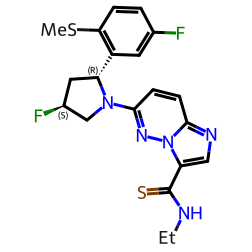 CCNC(=S)c1cnc2ccc(N3C[C@@H](F)C[C@@H]3c3cc(F)ccc3SC)nn12